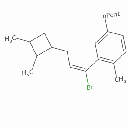 CCCCCc1ccc(C)c(/C(Br)=C\CC2CC(C)C2C)c1